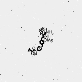 CCCCOc1nc(N)c2[nH]nc(Cc3ccc(CN4CCC(NC(=O)C(O)C5CC5)CC4)cc3OC)c2n1